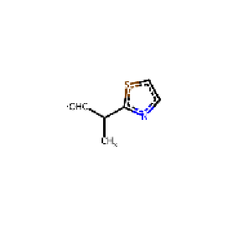 CC([C]=O)c1nccs1